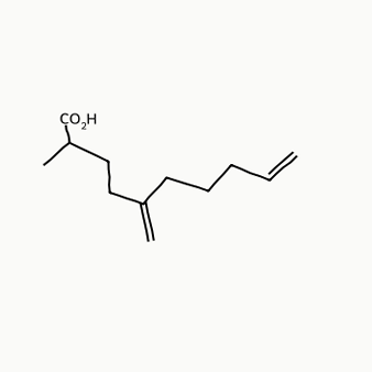 C=CCCCC(=C)CCC(C)C(=O)O